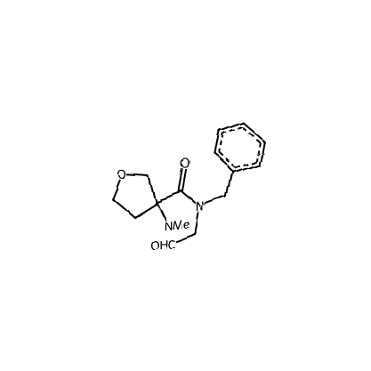 CNC1(C(=O)N(CC=O)Cc2ccccc2)CCOC1